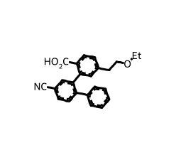 CCOCCc1ccc(C(=O)O)c(-c2cc(C#N)ccc2-c2ccccc2)c1